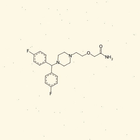 NC(=O)COCCN1CCN(C(c2ccc(F)cc2)c2ccc(F)cc2)CC1